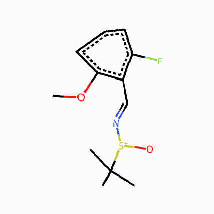 COc1cccc(F)c1C=N[S+]([O-])C(C)(C)C